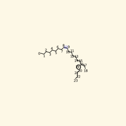 CCCCCCCC/C=C\CCCCCCC(CC)OCCCC